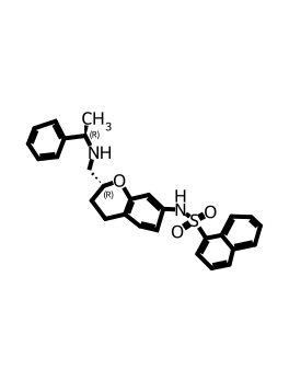 C[C@@H](NC[C@H]1CCc2ccc(NS(=O)(=O)c3cccc4ccccc34)cc2O1)c1ccccc1